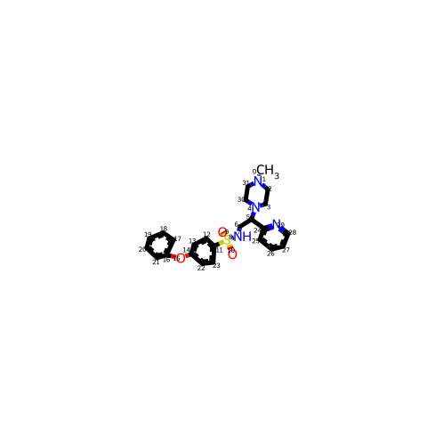 CN1CCN(C(CNS(=O)(=O)c2ccc(Oc3ccccc3)cc2)c2ccccn2)CC1